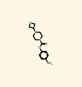 O=C(Oc1ccc([N+](=O)[O-])cc1)N1CCN(C2COC2)CC1